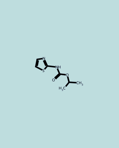 CC(C)OC(=O)Nc1nccs1